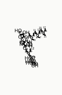 CCN(CC)CC.CCN(CC)CC.CCN(CC)CC.CCN(CC)CC.Nc1nc2c(ncn2[C@@H]2O[C@H](CO)[C@@H](O)[C@H]2O)c(=O)[nH]1.O=P(O)(O)OP(=O)(O)O